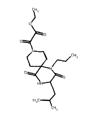 CCCN1C(=O)C(CC(C)C)NC(=O)C12CCN(C(=O)C(=O)OCC)CC2